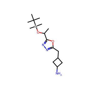 CC(O[Si](C)(C)C(C)(C)C)c1nnc(CC2CC(N)C2)o1